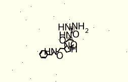 CN[C@@H](N)C(=O)N[C@H]1CO[C@H]2CCC(CC(=O)NCc3ccccc3)N2C1=O